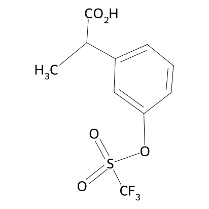 CC(C(=O)O)c1cccc(OS(=O)(=O)C(F)(F)F)c1